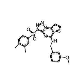 COc1cccc(CNc2nc3c(S(=O)(=O)c4ccc(C)c(C)c4)nnn3c3ccsc23)c1